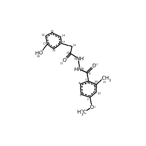 COc1ccc(C(=O)NNC(=O)Cc2cccc(O)c2)c(C)c1